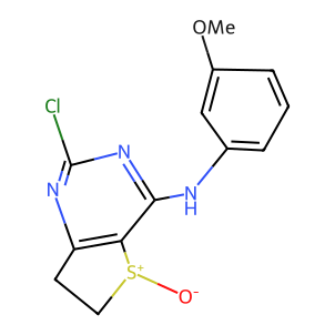 COc1cccc(Nc2nc(Cl)nc3c2[S+]([O-])CC3)c1